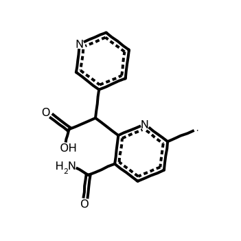 [CH2]c1ccc(C(N)=O)c(C(C(=O)O)c2cccnc2)n1